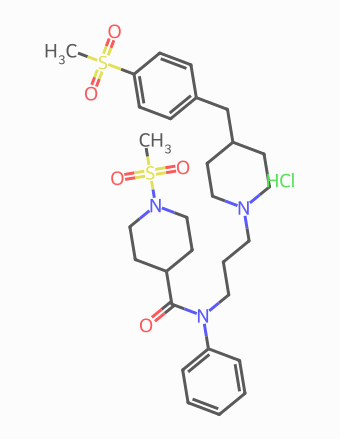 CS(=O)(=O)c1ccc(CC2CCN(CCCN(C(=O)C3CCN(S(C)(=O)=O)CC3)c3ccccc3)CC2)cc1.Cl